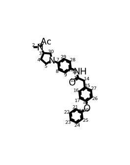 CC(=O)N(C)C1CCN(c2ccc(NC(=O)Cc3ccc(Oc4ccccc4)cc3)cc2)C1